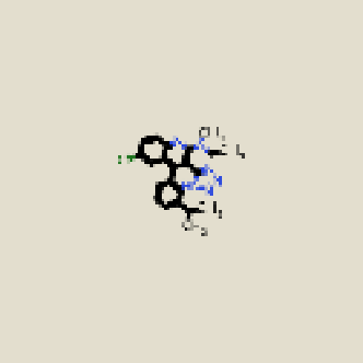 CCN(C)c1nc2ccc(Cl)cc2c(-c2cccc(C(C)C)c2)c1-c1nnn[nH]1